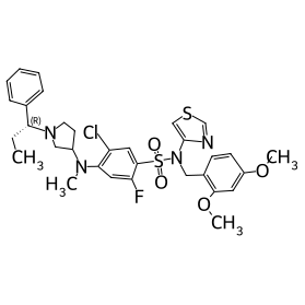 CC[C@H](c1ccccc1)N1CCC(N(C)c2cc(F)c(S(=O)(=O)N(Cc3ccc(OC)cc3OC)c3cscn3)cc2Cl)C1